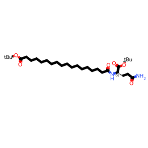 CC(C)(C)OC(=O)CCCCCCCCCCCCCCCCC(=O)N[C@@H](CCC(N)=O)C(=O)OC(C)(C)C